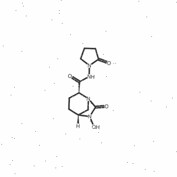 O=C(NN1CCCC1=O)[C@@H]1CC[C@@H]2CN1C(=O)N2O